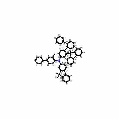 Cc1cc(-c2ccccc2)ccc1N(c1ccc2c(c1)C(C)(C)c1ccccc1-2)c1ccc2c(c1)C1(c3ccccc3-c3ccccc31)c1cccc(-c3ccccc3)c1-2